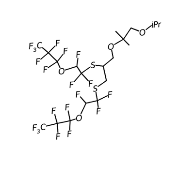 CC(C)OCC(C)(C)OCC(CSC(F)(F)C(F)OC(F)(F)C(F)(F)C(F)(F)F)SC(F)(F)C(F)OC(F)(F)C(F)(F)C(F)(F)F